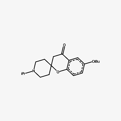 CC(C)COc1ccc2c(c1)C(=O)CC1(CCN(C(C)C)CC1)O2